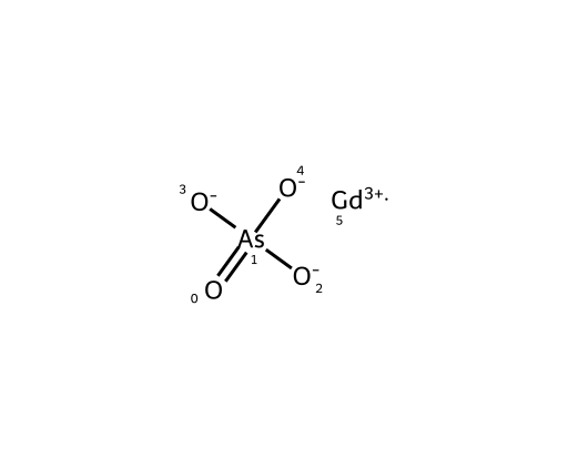 O=[As]([O-])([O-])[O-].[Gd+3]